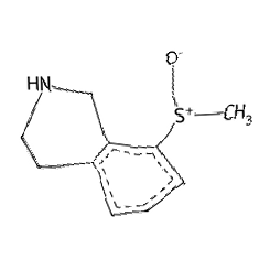 C[S+]([O-])c1cccc2c1CNCC2